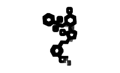 O=C1CC[C@H](N2CC[C@@H](CCc3cccc(C(F)(F)F)c3)C2=O)[C@@H](CS(=O)(=O)c2ccccc2)C1